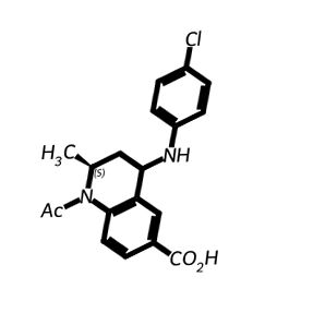 CC(=O)N1c2ccc(C(=O)O)cc2C(Nc2ccc(Cl)cc2)C[C@@H]1C